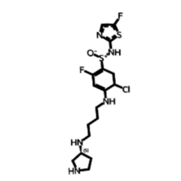 [O-][S+](Nc1ncc(F)s1)C1=C(F)C=C(NCCCCN[C@H]2CCNC2)C(Cl)C1